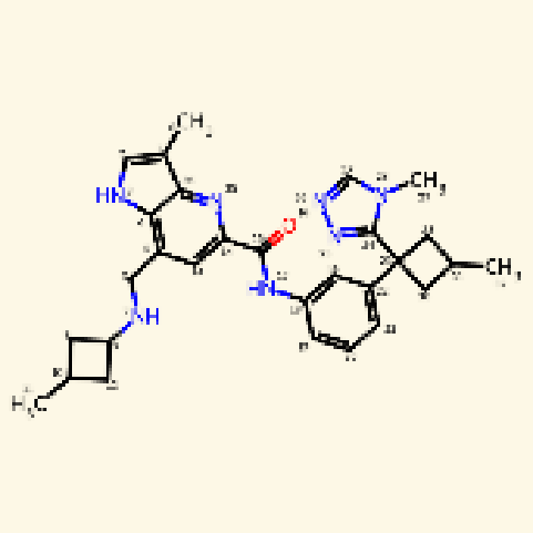 Cc1c[nH]c2c(CNC3CC(C)C3)cc(C(=O)Nc3cccc(C4(c5nncn5C)CC(C)C4)c3)nc12